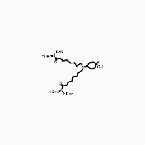 CCCCCCCCCCN(CCCCCCCCCC)C(=O)CCCCCCCN(CCCCCCCC(=O)N(CCCCCCCCCC)CCCCCCCCCC)C1CCC(C)(O)CC1